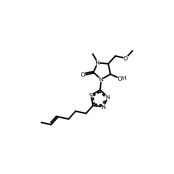 CC=CCCCc1nnc(N2C(=O)N(C)C(COC)C2O)s1